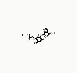 COC(=O)COc1cc(NC(=O)c2sccc2C(=O)O)c(F)cc1Cl